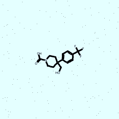 O=C(O)N1CCC(CO)(c2ccc(C(F)(F)F)cc2)CC1